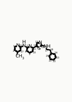 Cc1ccnc(Nc2cccc(-c3cnc(NCCc4ccccc4)s3)n2)c1